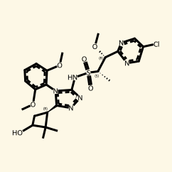 COc1cccc(OC)c1-n1c(NS(=O)(=O)[C@@H](C)[C@H](OC)c2ncc(Cl)cn2)nnc1[C@@H]1CC(O)C1(C)C